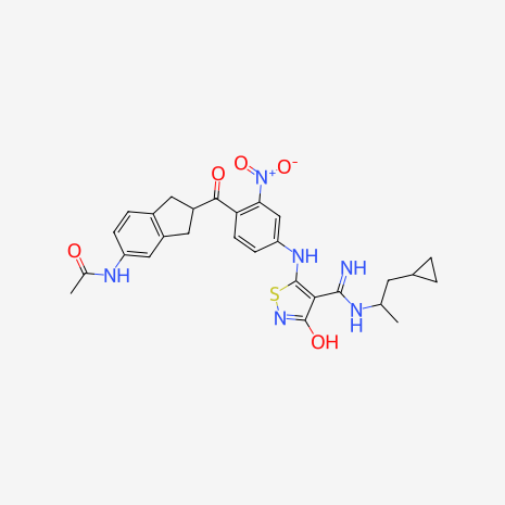 CC(=O)Nc1ccc2c(c1)CC(C(=O)c1ccc(Nc3snc(O)c3C(=N)NC(C)CC3CC3)cc1[N+](=O)[O-])C2